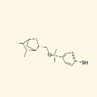 CC1C2CC(COC(C)(C)c3ccc(S)cc3)C(C2)C1C